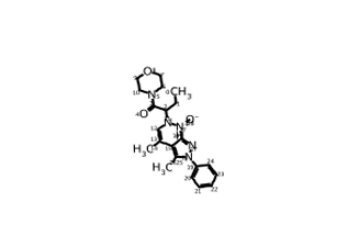 CCC(C(=O)N1CCOCC1)N1C=C(C)c2c(nn(-c3ccccc3)c2C)[NH+]1[O-]